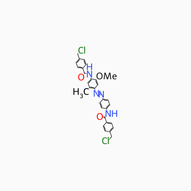 COc1cc(/N=N/c2ccc(NC(=O)c3ccc(CCl)cc3)cc2)c(C)cc1NC(=O)c1ccc(CCl)cc1